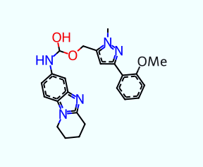 COc1ccccc1-c1cc(COC(O)Nc2ccc3c(c2)nc2n3CCCC2)n(C)n1